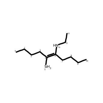 CCCCC([SiH3])=C(CCCC)NCC